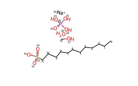 CCCCCCCCCCCCS(=O)(=O)[O-].CO.O.O=P(O)(O)O.[Na+]